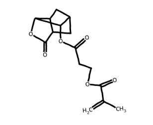 C=C(C)C(=O)OCCC(=O)OC1C2CC3C(=O)OC1C3C2